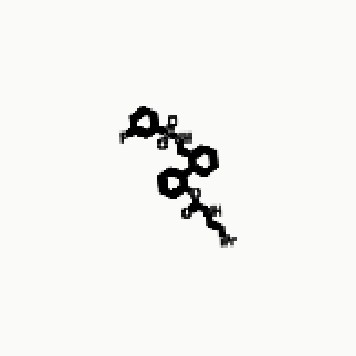 CC(C)CCNC(=O)Oc1ccccc1-c1ccccc1CNS(=O)(=O)c1cccc(F)c1